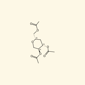 CC(=O)OC[C@@H]1C[C@H](OC(C)=O)[C@@H](OC(C)=O)CO1